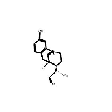 C=C[C@@H](C)N1CC[C@]23CCCCC2[C@H]1Cc1ccc(O)cc13